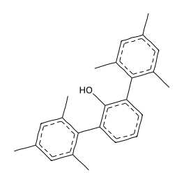 Cc1cc(C)c(-c2cccc(-c3c(C)cc(C)cc3C)c2O)c(C)c1